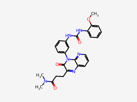 COc1ccccc1NC(=O)Nc1cccc(-n2c(=O)c(CCC(=O)N(C)C)nc3cccnc32)c1